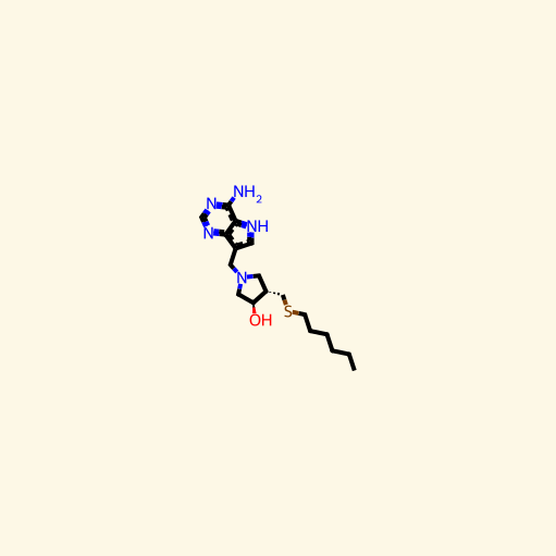 CCCCCCSC[C@H]1CN(Cc2c[nH]c3c(N)ncnc23)C[C@@H]1O